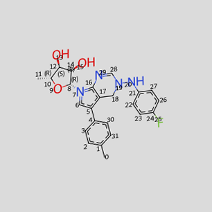 Cc1ccc(-c2cn([C@@H]3O[C@H](C)[C@@H](O)[C@H]3O)c3c2CN(Nc2ccc(F)cc2)C=N3)cc1